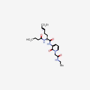 CCOC(=O)/C=C/CC[C@H](NC(=O)CCC(=O)O)C(=O)Nc1cccn(CC(=O)NCC(C)CC)c1=O